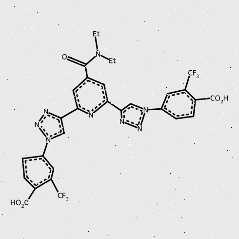 CCN(CC)C(=O)c1cc(-c2cn(-c3ccc(C(=O)O)c(C(F)(F)F)c3)nn2)nc(-c2cn(-c3ccc(C(=O)O)c(C(F)(F)F)c3)nn2)c1